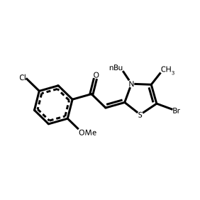 CCCCN1C(=CC(=O)c2cc(Cl)ccc2OC)SC(Br)=C1C